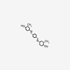 Cc1cc(/N=C/c2ccc(/C=N/c3ccc(O)c(C)c3)cc2)ccc1O